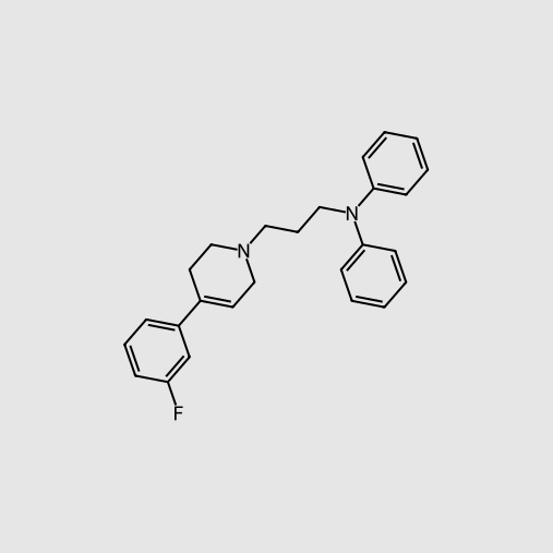 Fc1cccc(C2=CCN(CCCN(c3ccccc3)c3ccccc3)CC2)c1